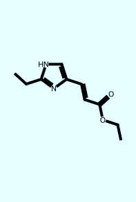 CCOC(=O)C=Cc1c[nH]c(CC)n1